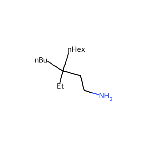 CCCCCCC(CC)(CCN)CCCC